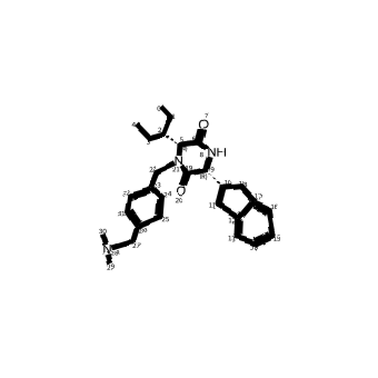 CCC(CC)[C@@H]1C(=O)N[C@H](C2Cc3ccccc3C2)C(=O)N1Cc1ccc(CN(C)C)cc1